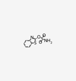 NS(=O)(=O)Oc1nc2ccccc2s1